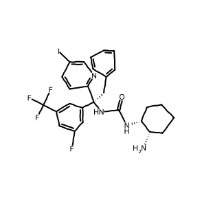 N[C@H]1CCCC[C@H]1NC(=O)N[C@@](Cc1ccccc1)(c1cc(F)cc(C(F)(F)F)c1)c1ccc(I)cn1